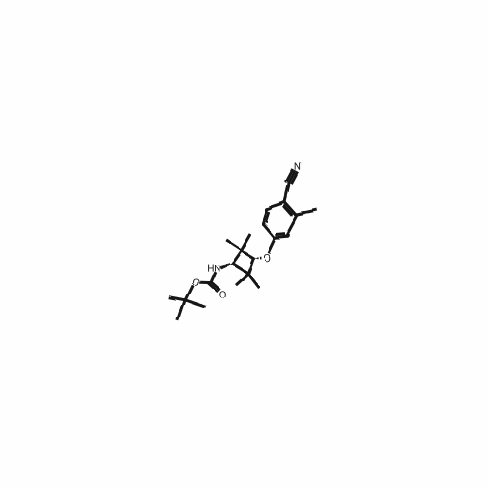 Cc1cc(O[C@H]2C(C)(C)[C@H](NC(=O)OC(C)(C)C)C2(C)C)ccc1C#N